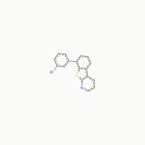 Brc1cccc(-c2cccc3c2sc2ncccc23)c1